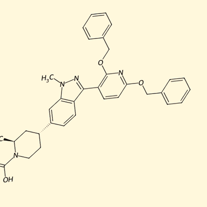 C[C@H]1C[C@H](c2ccc3c(-c4ccc(OCc5ccccc5)nc4OCc4ccccc4)nn(C)c3c2)CCN1C(=O)O